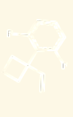 C=CC1(c2c(F)cccc2F)CCC1